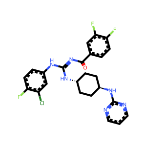 O=C(/N=C(/Nc1ccc(F)c(Cl)c1)N[C@H]1CC[C@H](Nc2ncccn2)CC1)c1ccc(F)c(F)c1